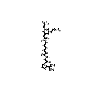 NCCNCC(CNCCN)CC(=O)NCCCCCC(=O)NCC(=O)N1CCCC1B(O)O